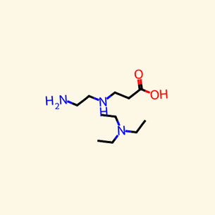 CCN(CC)CC.NCCNCCC(=O)O